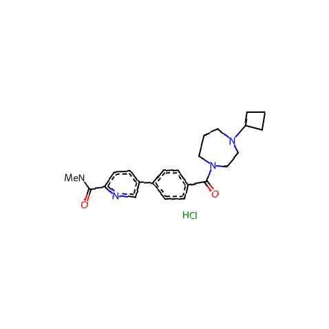 CNC(=O)c1ccc(-c2ccc(C(=O)N3CCCN(C4CCC4)CC3)cc2)cn1.Cl